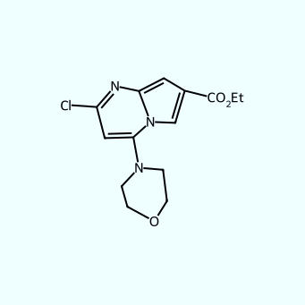 CCOC(=O)c1cc2nc(Cl)cc(N3CCOCC3)n2c1